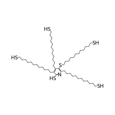 SCCCCCCCCCCCCSc1c(CCCCCCCCCCCCS)nc(S)c(CCCCCCCCCCCCS)c1CCCCCCCCCCCCS